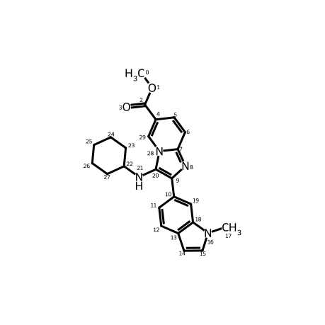 COC(=O)c1ccc2nc(-c3ccc4ccn(C)c4c3)c(NC3CCCCC3)n2c1